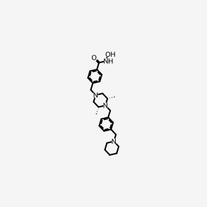 C[C@@H]1CN(Cc2ccc(C(=O)NO)cc2)C[C@H](C)N1Cc1cccc(CN2CCCCC2)c1